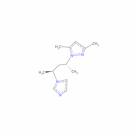 Cc1cc(C)n([C@H](C)C[C@H](C)n2ccnc2)n1